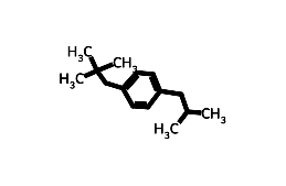 CC(C)Cc1ccc(CC(C)(C)C)cc1